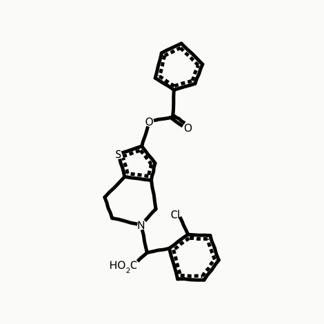 O=C(Oc1cc2c(s1)CCN(C(C(=O)O)c1ccccc1Cl)C2)c1ccccc1